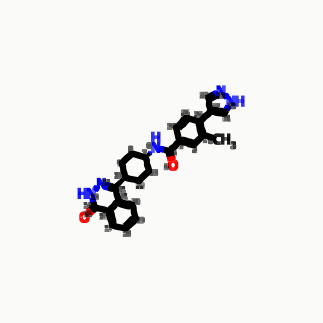 Cc1cc(C(=O)N[C@H]2CC[C@H](c3n[nH]c(=O)c4ccccc43)CC2)ccc1-c1cn[nH]c1